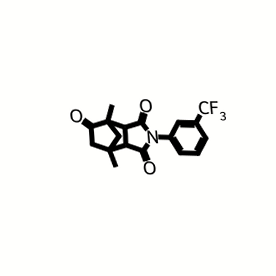 CC12CC(=O)C(C)(C1)C1C(=O)N(c3cccc(C(F)(F)F)c3)C(=O)C12